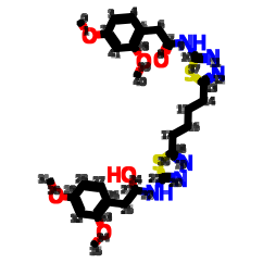 COc1ccc(CC(=O)Nc2nnc(CCCCc3nnc(NC(O)Cc4ccc(OC)cc4OC)s3)s2)c(OC)c1